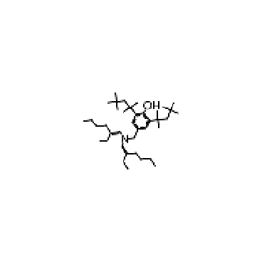 CCCCC(=CN(C=C(CC)CCCC)Cc1cc(C(C)(C)CC(C)(C)C)c(O)c(C(C)(C)CC(C)(C)C)c1)CC